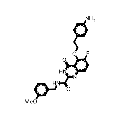 COc1cccc(CNC(=O)c2nc3ccc(F)c(OCCc4ccc(N)cc4)c3c(=O)[nH]2)c1